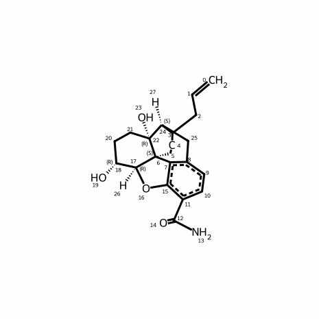 C=CCC1CC[C@]23c4c5ccc(C(N)=O)c4O[C@H]2[C@H](O)CC[C@@]3(O)[C@H]1C5